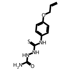 C=CCOc1ccc(NC(=S)NNC(N)=O)cc1